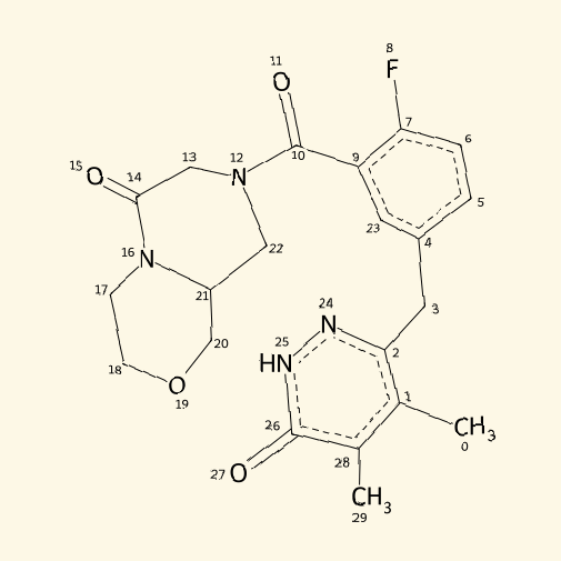 Cc1c(Cc2ccc(F)c(C(=O)N3CC(=O)N4CCOCC4C3)c2)n[nH]c(=O)c1C